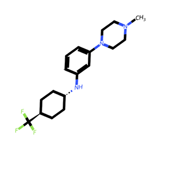 CN1CCN(c2cc[c]c(N[C@H]3CC[C@H](C(F)(F)F)CC3)c2)CC1